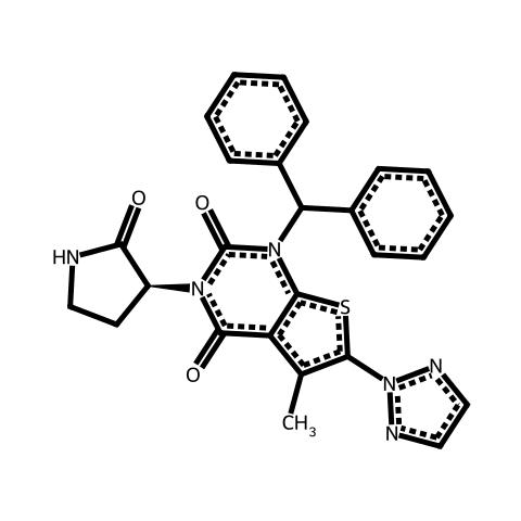 Cc1c(-n2nccn2)sc2c1c(=O)n([C@H]1CCNC1=O)c(=O)n2C(c1ccccc1)c1ccccc1